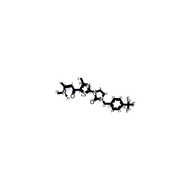 C/C(=C/C(=O)c1sc(N2CCN(Cc3ccc(C(F)(F)F)cc3)C2=O)nc1C)N(C)C